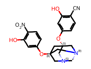 N#Cc1ccc(O[C@@]23C[N@@]4C[N@@](C2)C[C@](Oc2ccc([N+](=O)[O-])c(O)c2)(C4)C3)cc1O